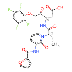 CC[C@@H](C(=O)N[C@@H](CC(=O)O)C(=O)COc1c(F)c(F)cc(F)c1F)n1cccc(NC(=O)c2ccco2)c1=O